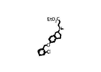 CCOC(=O)CCN(C)C1CCc2cc(OCc3ccccc3Cl)ccc2C1